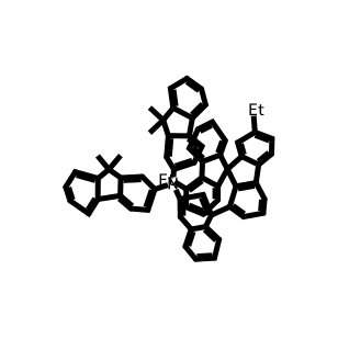 CCc1ccc2c(c1)C1(c3ccccc3-c3c(CC)cccc31)c1c-2cccc1-c1cc(N(c2ccc3c(c2)C(C)(C)c2ccccc2-3)c2ccc3c(c2)C(C)(C)c2ccccc2-3)cc2ccccc12